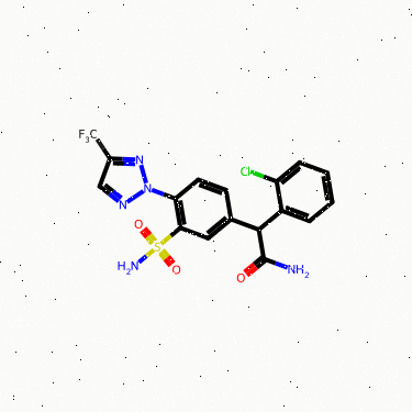 NC(=O)C(c1ccc(-n2ncc(C(F)(F)F)n2)c(S(N)(=O)=O)c1)c1ccccc1Cl